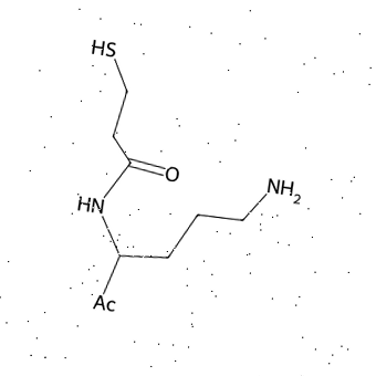 CC(=O)C(CCCN)NC(=O)CCS